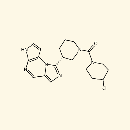 O=C(N1CCC(Cl)CC1)N1CCC[C@@H](c2ncc3cnc4[nH]ccc4n23)C1